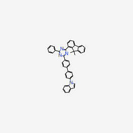 CC1(C)c2ccccc2-c2cccc(-c3nc(-c4ccccc4)nc(-c4ccc(-c5ccc(-n6ccc7ccccc76)cc5)cc4)n3)c21